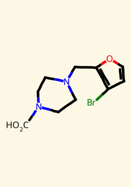 O=C(O)N1CCN(Cc2occc2Br)CC1